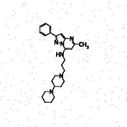 Cc1cc(NCCCN2CCC(N3CCCCC3)CC2)n2nc(-c3ccccc3)cc2n1